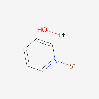 CCO.[S-][n+]1ccccc1